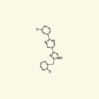 Fc1cccc(-c2ncc(-c3c[nH]c(Cc4ccccc4F)n3)cn2)c1